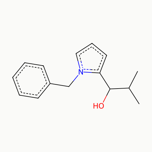 CC(C)C(O)c1cccn1Cc1ccccc1